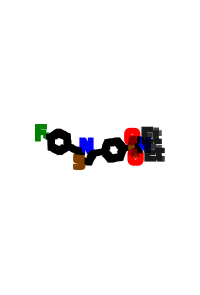 CCN(CC)S(=O)(=O)c1ccc(-c2csc(-c3ccc(F)cc3)n2)cc1